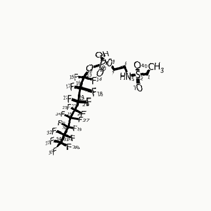 CCS(=O)(=O)NCCOP(=O)(O)OC(F)(F)C(F)(F)C(F)(F)C(F)(F)C(F)(F)C(F)(F)C(F)(F)C(F)(F)F